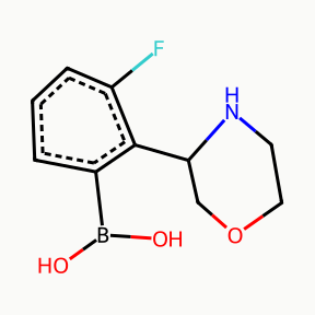 OB(O)c1cccc(F)c1C1COCCN1